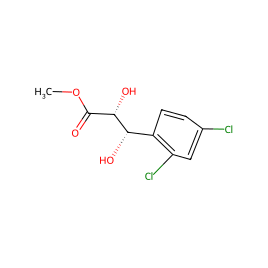 COC(=O)[C@H](O)[C@@H](O)c1ccc(Cl)cc1Cl